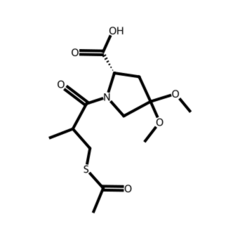 COC1(OC)C[C@@H](C(=O)O)N(C(=O)C(C)CSC(C)=O)C1